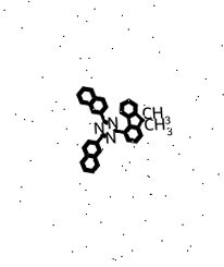 CC1(C)c2ccccc2-c2c(-c3nc(-c4ccc5ccccc5c4)nc(-c4ccc5ccccc5c4)n3)cccc21